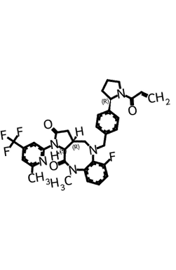 C=CC(=O)N1CCC[C@@H]1c1ccc(CN2C[C@H]3CC(=O)N(c4cc(C(F)(F)F)cc(C)n4)[C@@H]3C(=O)N(C)c3cccc(F)c32)cc1